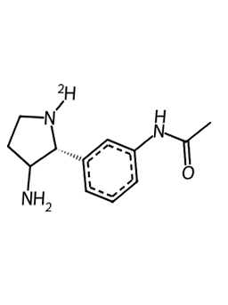 [2H]N1CCC(N)[C@H]1c1cccc(NC(C)=O)c1